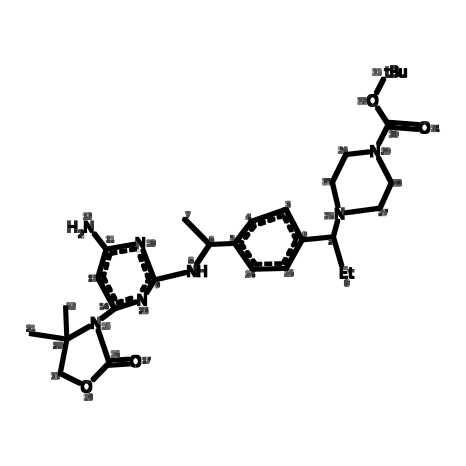 CCC(c1ccc(C(C)Nc2nc(N)cc(N3C(=O)OCC3(C)C)n2)cc1)N1CCN(C(=O)OC(C)(C)C)CC1